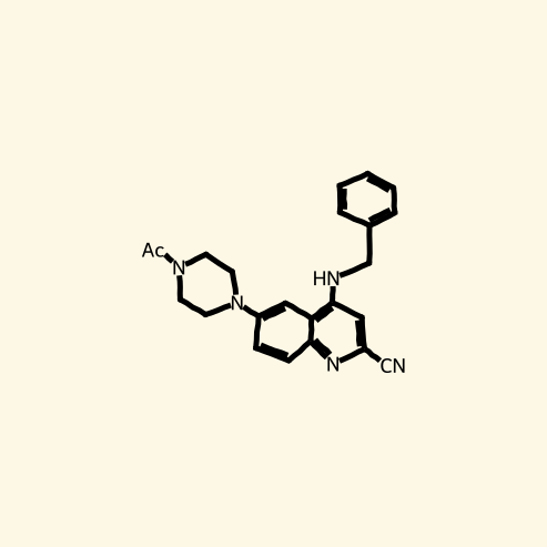 CC(=O)N1CCN(c2ccc3nc(C#N)cc(NCc4ccccc4)c3c2)CC1